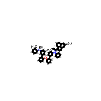 C=C/C(=c1/ccc2cc(C(C)(C)C)cc3cccc1c32)N(c1cccc(-c2ccccc2Oc2ccccc2-c2cccc(N(C)c3ccccc3C)c2)c1)c1ccccc1C